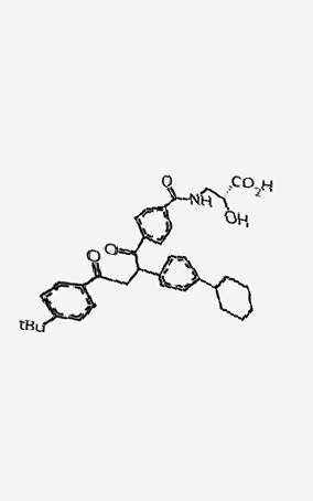 CC(C)(C)c1ccc(C(=O)CC(C(=O)c2ccc(C(=O)NC[C@@H](O)C(=O)O)cc2)c2ccc(C3CCCCC3)cc2)cc1